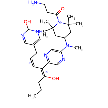 CCC/C(O)=C(\C=C/CC1=CNC(O)N=C1)c1cnc(N(C)C2CC(C)(C)N(C(=O)CCN)C(C)(C)C2)cn1